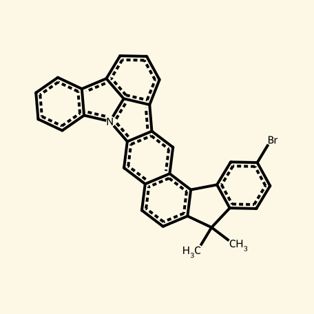 CC1(C)c2ccc(Br)cc2-c2c1ccc1cc3c(cc21)c1cccc2c4ccccc4n3c21